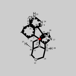 O=C(c1cccc(C(F)(F)F)c1F)N1[C@H]2COC[C@@H]1c1nnc(-c3cc[nH]n3)n1C2